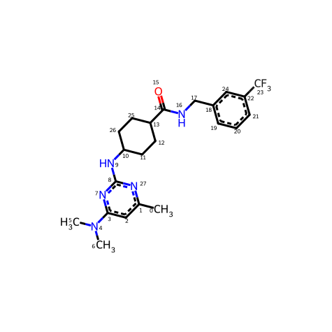 Cc1cc(N(C)C)nc(NC2CCC(C(=O)NCc3cccc(C(F)(F)F)c3)CC2)n1